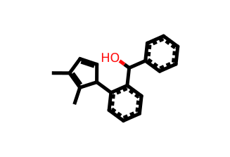 CC1=C(C)C(c2ccccc2C(O)c2ccccc2)C=C1